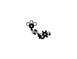 COc1cc(CN2CCN(CCC3(C)CCc4c(C)c(OC)c(C)c(C)c4O3)CC2)cc(OC)c1OC